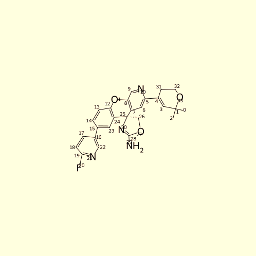 CC1(C)C=C(c2cc3c(cn2)Oc2ccc(-c4ccc(F)nc4)cc2[C@@]32COC(N)=N2)CCO1